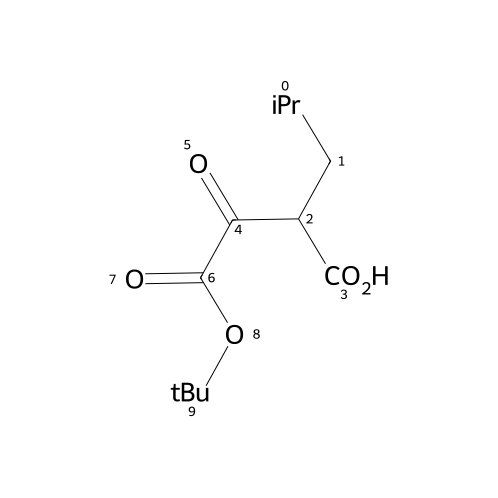 CC(C)CC(C(=O)O)C(=O)C(=O)OC(C)(C)C